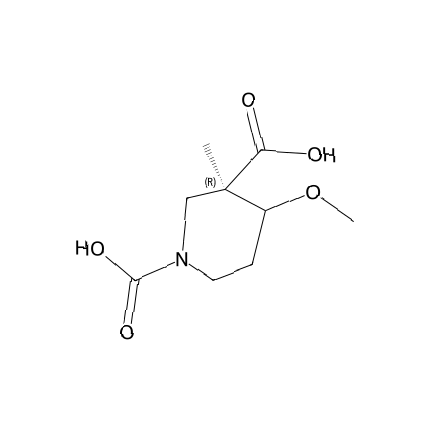 COC1CCN(C(=O)O)C[C@@]1(C)C(=O)O